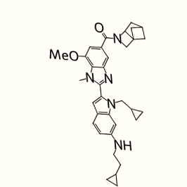 COc1cc(C(=O)N2CC34CC(CC23)C4)cc2nc(-c3cc4ccc(NCCC5CC5)cc4n3CC3CC3)n(C)c12